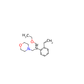 C=Cc1ccccc1[SiH](COCC)CN1CCOCC1